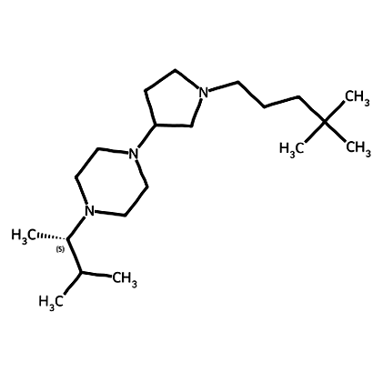 CC(C)[C@H](C)N1CCN(C2CCN(CCCC(C)(C)C)C2)CC1